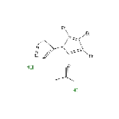 CCC1=C(CC)C(C2=CC=CC2)[C]([Zr]=[C](C)C)=C1CC.Cl.Cl